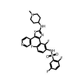 CN1CCC(Nc2nc(-c3c(F)ccc(NS(=O)(=O)c4cc(F)ccc4F)c3F)c(-c3ccncc3)s2)CC1